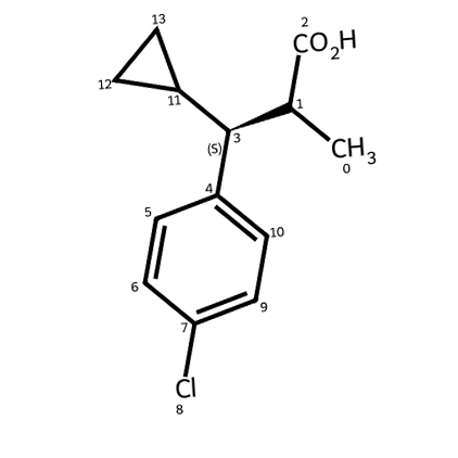 CC(C(=O)O)[C@@H](c1ccc(Cl)cc1)C1CC1